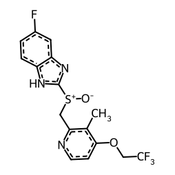 Cc1c(OCC(F)(F)F)ccnc1C[S+]([O-])c1nc2cc(F)ccc2[nH]1